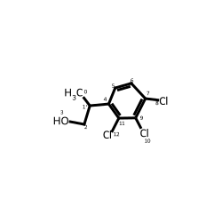 C[C](CO)c1ccc(Cl)c(Cl)c1Cl